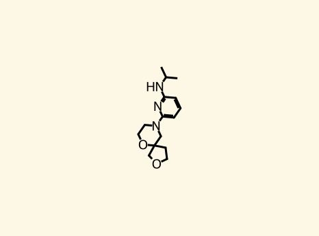 CC(C)Nc1cccc(N2CCOC3(CCOC3)C2)n1